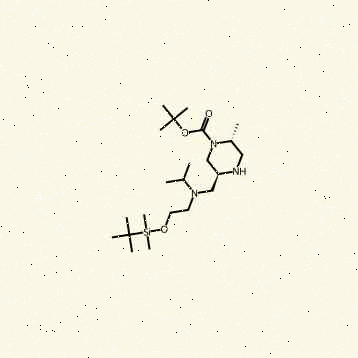 CC(C)N(CCO[Si](C)(C)C(C)(C)C)C[C@H]1CN(C(=O)OC(C)(C)C)[C@H](C)CN1